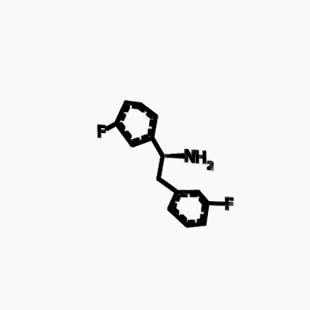 N[C@@H](Cc1cccc(F)c1)c1cccc(F)c1